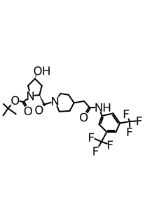 CC(C)(C)OC(=O)N1C[C@H](O)C[C@H]1C(=O)N1CCC(CC(=O)Nc2cc(C(F)(F)F)cc(C(F)(F)F)c2)CC1